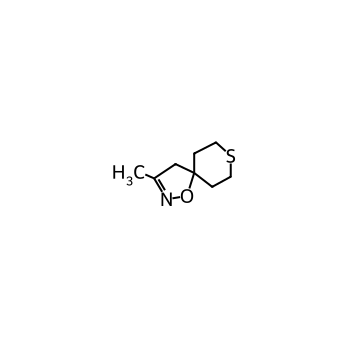 CC1=NOC2(CCSCC2)C1